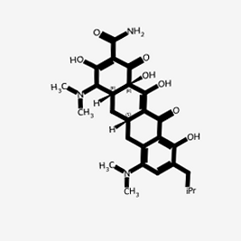 CC(C)Cc1cc(N(C)C)c2c(c1O)C(=O)C1=C(O)[C@@]3(O)C(=O)C(C(N)=O)=C(O)C(N(C)C)[C@H]3C[C@H]1C2